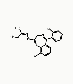 CC(CCl)=NNC1=Nc2c(Cl)cccc2C(c2ccccc2Cl)=NC1